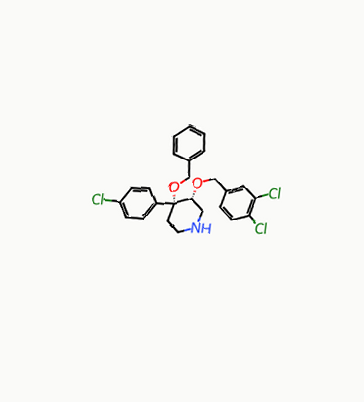 Clc1ccc([C@]2(OCc3ccccc3)CCNC[C@H]2OCc2ccc(Cl)c(Cl)c2)cc1